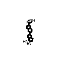 c1nc(-c2ccc3cc(-c4ccc5c(ccc6nc[nH]c65)c4)ccc3c2)c[nH]1